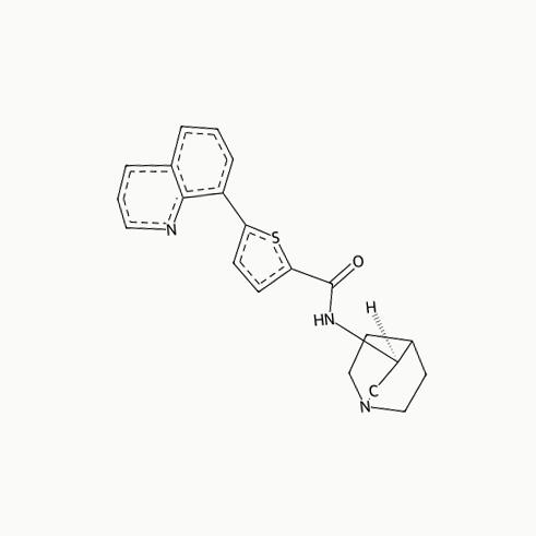 O=C(N[C@@H]1CN2CCC1CC2)c1ccc(-c2cccc3cccnc23)s1